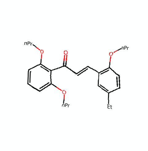 CCCOc1ccc(CC)cc1C=CC(=O)c1c(OCCC)cccc1OCCC